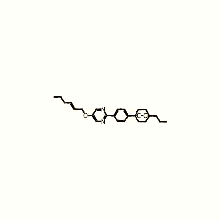 CCCC=CCOc1cnc(-c2ccc(C34CCC(CCC)(CC3)CC4)cc2)nc1